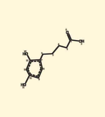 O=C(O)CCCCc1ccc(O)cc1O